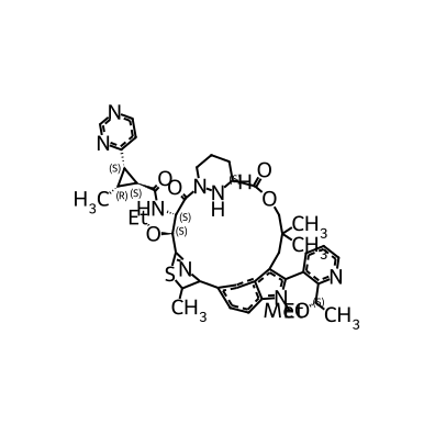 CCO[C@@H]1C2=NC(c3ccc4c(c3)c(c(-c3cccnc3[C@H](C)OC)n4CC)CC(C)(C)COC(=O)[C@@H]3CCCN(N3)C(=O)[C@H]1NC(=O)[C@H]1[C@H](C)[C@@H]1c1ccncn1)C(C)S2